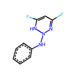 FC1=CC(F)=NN(Nc2ccccc2)N1